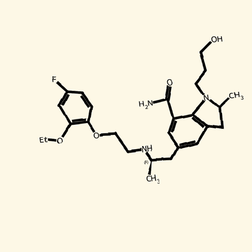 CCOc1cc(F)ccc1OCCN[C@H](C)Cc1cc2c(c(C(N)=O)c1)N(CCCO)C(C)C2